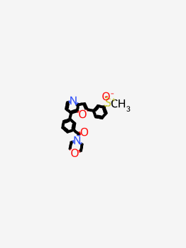 C[S+]([O-])c1cccc(-c2cc3nccc(-c4cccc(C(=O)N5CCOCC5)c4)c3o2)c1